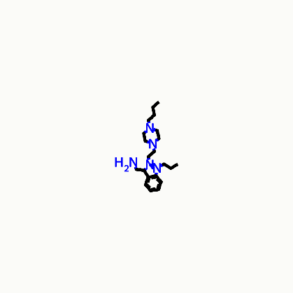 CCCCN1CCN(CCN2C(CN)c3ccccc3N2CCC)CC1